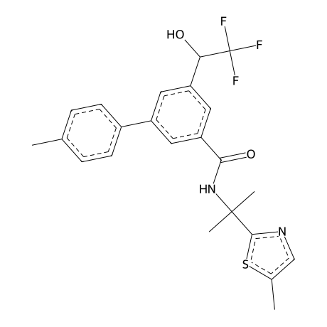 Cc1ccc(-c2cc(C(=O)NC(C)(C)c3ncc(C)s3)cc(C(O)C(F)(F)F)c2)cc1